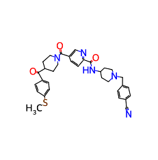 CSc1ccc(C(=O)C2CCN(C(=O)c3ccc(C(=O)NC4CCN(Cc5ccc(C#N)cc5)CC4)nc3)CC2)cc1